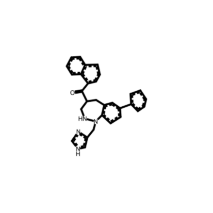 O=C(c1cccc2ccccc12)C1CNN(Cc2c[nH]cn2)c2ccc(-c3ccccc3)cc2C1